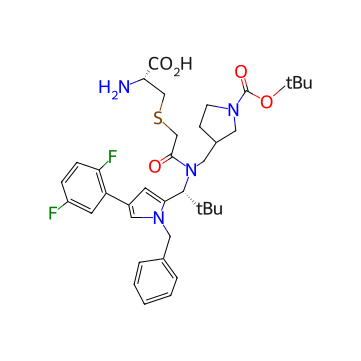 CC(C)(C)OC(=O)N1CCC(CN(C(=O)CSC[C@H](N)C(=O)O)[C@@H](c2cc(-c3cc(F)ccc3F)cn2Cc2ccccc2)C(C)(C)C)C1